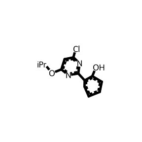 CC(C)Oc1cc(Cl)nc(-c2ccccc2O)n1